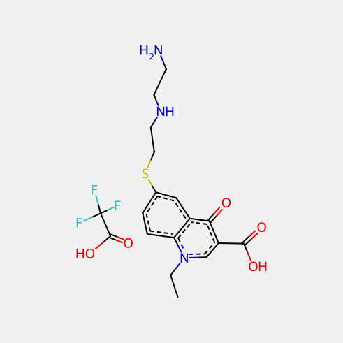 CCn1cc(C(=O)O)c(=O)c2cc(SCCNCCN)ccc21.O=C(O)C(F)(F)F